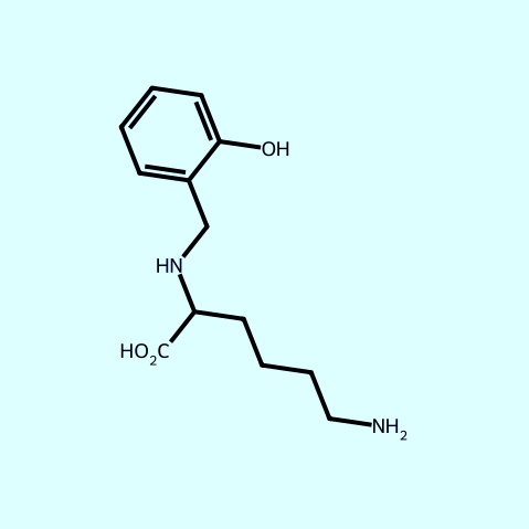 NCCCCC(NCc1ccccc1O)C(=O)O